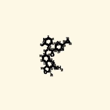 Cc1ncccc1N(Cc1ccc2c3c(c(N)nc2c1)[C@H](C)OC3)C(=O)c1cnc(C2CC2)nc1